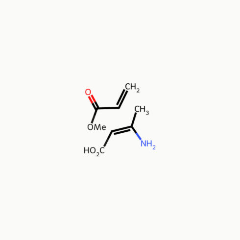 C=CC(=O)OC.CC(N)=CC(=O)O